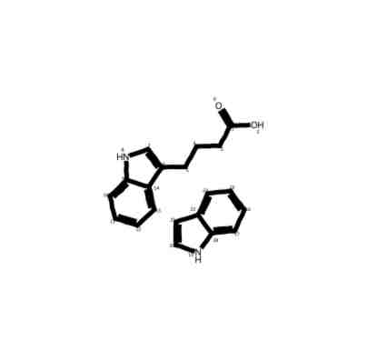 O=C(O)CCCc1c[nH]c2ccccc12.c1ccc2[nH]ccc2c1